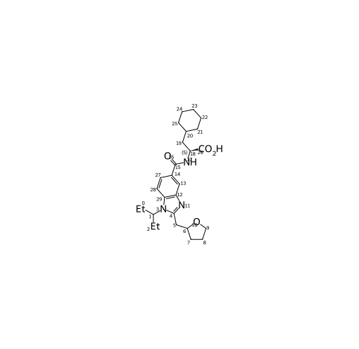 CCC(CC)n1c(CC2CCCO2)nc2cc(C(=O)N[C@@H](CC3CCCCC3)C(=O)O)ccc21